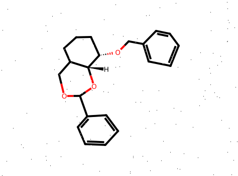 c1ccc(CO[C@H]2CCCC3COC(c4ccccc4)O[C@H]32)cc1